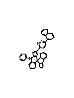 c1ccc(N2c3ccccc3C3(c4ccccc4-c4ccccc43)c3cc(-c4ccc(-c5cccc6ccccc56)nn4)ccc32)cc1